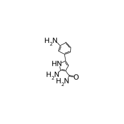 NC(=O)c1cc(-c2cccc(N)c2)[nH]c1N